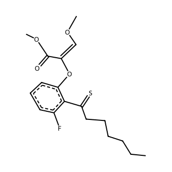 CCCCCCC(=S)c1c(F)cccc1O/C(=C/OC)C(=O)OC